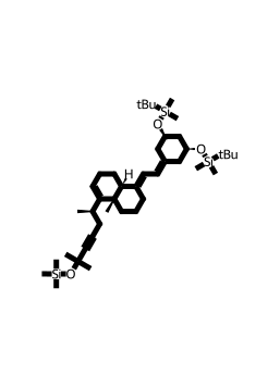 C[C@H](CC#CC(C)(C)O[Si](C)(C)C)C1=CCC[C@H]2/C(=C/C=C3C[C@@H](O[Si](C)(C)C(C)(C)C)C[C@H](O[Si](C)(C)C(C)(C)C)C3)CCC[C@]12C